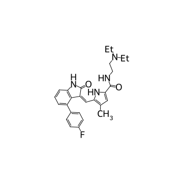 CCN(CC)CCNC(=O)c1cc(C)c(C=C2C(=O)Nc3cccc(-c4ccc(F)cc4)c32)[nH]1